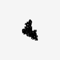 COc1cccc(-c2nnc(NS(=O)(=O)C(C)C(OC(C)C)c3ncc(C)cn3)n2C(C)[C@H]2CCCO2)n1